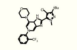 Cn1nc(C(C)(C)C)c(Cl)c1C1=NC2=CN(c3ccccc3C(F)(F)F)C=C(N3CCOCC3)C2N1